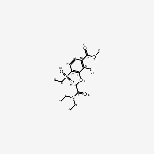 CCN(CC)C(=O)COc1c(S(=O)(=O)CC)ccc(C(=O)OC)c1Cl